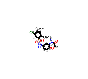 COc1cc(OC)c(S(=O)(=O)Nc2ccc3c(c2)N(C)C(=O)CO3)cc1Cl